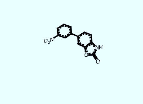 O=c1[nH]c2ccc(-c3cccc([N+](=O)[O-])c3)cc2o1